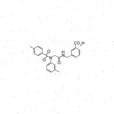 Cc1ccc(S(=O)(=O)N(CC(=O)NCc2cccc(C(=O)O)c2)c2cccc(C)c2)cc1